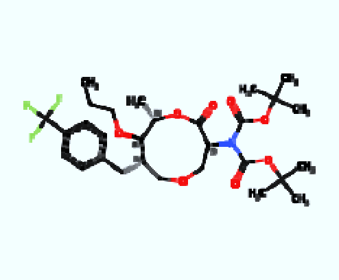 CCCO[C@@H]1[C@@H](Cc2ccc(C(F)(F)F)cc2)COC[C@H](N(C(=O)OC(C)(C)C)C(=O)OC(C)(C)C)C(=O)O[C@H]1C